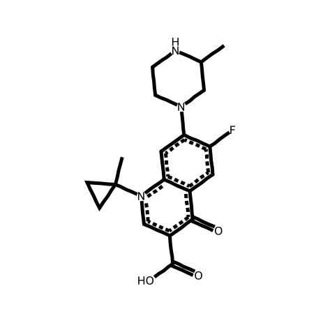 CC1CN(c2cc3c(cc2F)c(=O)c(C(=O)O)cn3C2(C)CC2)CCN1